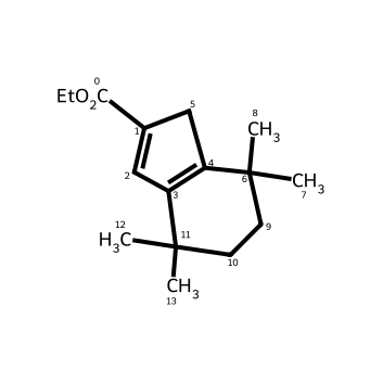 CCOC(=O)C1=CC2=C(C1)C(C)(C)CCC2(C)C